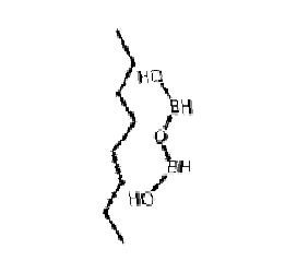 CCCCCCCC.OBOBO